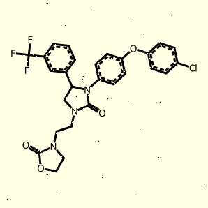 O=C1OCCN1CCN1CC(c2cccc(C(F)(F)F)c2)N(c2ccc(Oc3ccc(Cl)cc3)cc2)C1=O